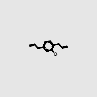 C=CCc1ccc(CC=C)c([O])c1